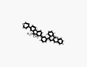 CC1(C)c2cc(-c3ccncc3)ccc2-c2ccc(-c3cccc(-c4cc5cc6ccccc6nc5c5ccccc45)c3)cc21